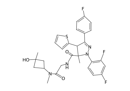 CN(C(=O)CNC(=O)C1(C)C(c2cccs2)C(c2ccc(F)cc2)=NN1c1ccc(F)cc1F)C1CC(C)(O)C1